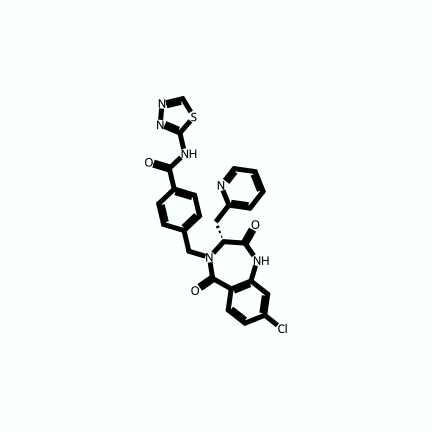 O=C(Nc1nncs1)c1ccc(CN2C(=O)c3ccc(Cl)cc3NC(=O)[C@H]2Cc2ccccn2)cc1